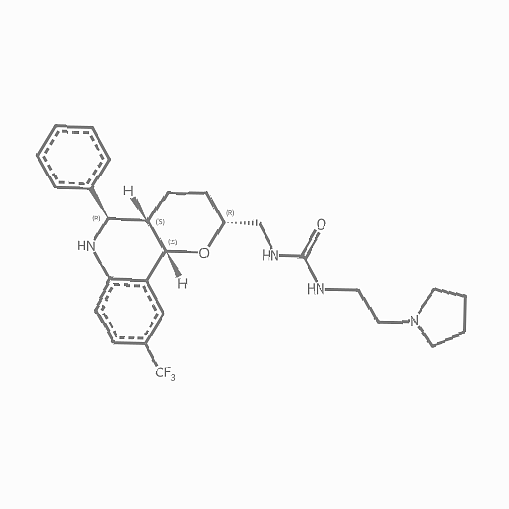 O=C(NCCN1CCCC1)NC[C@H]1CC[C@@H]2[C@H](O1)c1cc(C(F)(F)F)ccc1N[C@H]2c1ccccc1